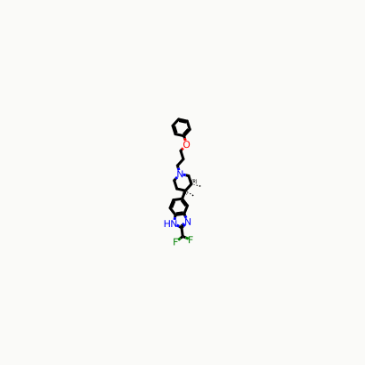 C[C@H]1CN(CCCOc2ccccc2)CC[C@]1(C)c1ccc2[nH]c(C(F)F)nc2c1